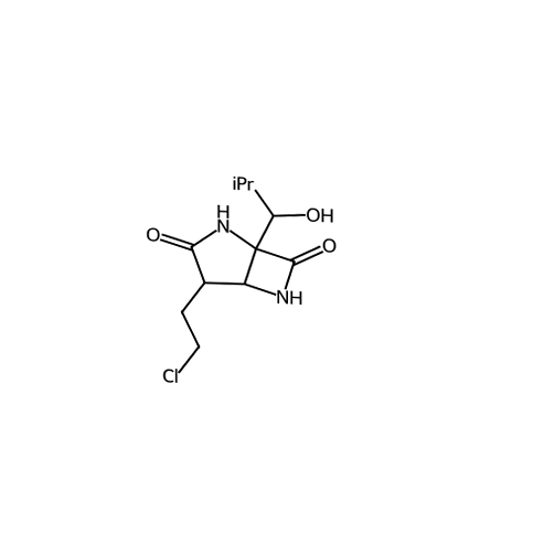 CC(C)C(O)C12NC(=O)C(CCCl)C1NC2=O